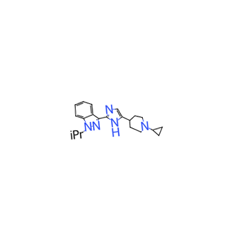 CC(C)n1nc(-c2ncc(C3CCN(C4CC4)CC3)[nH]2)c2ccccc21